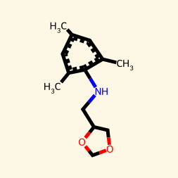 Cc1cc(C)c(NCC2COCO2)c(C)c1